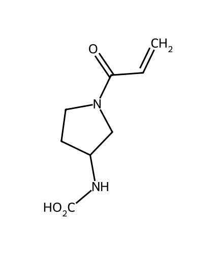 C=CC(=O)N1CCC(NC(=O)O)C1